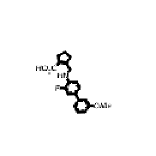 COc1cccc(-c2ccc(NCC3=C(C(=O)O)CCC3)c(F)c2)c1